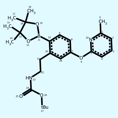 Cc1cccc(Oc2ccc(B3OC(C)(C)C(C)(C)O3)c(CCNC(=O)OC(C)(C)C)c2)n1